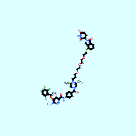 C[C@@H]1CN(C(=O)c2ccc(NC(=O)c3cc(O[C@H](C)c4c(Cl)ccc(F)c4Cl)c(N)nn3)cc2)C[C@H](C)N1CCCOCCOCCOCCSc1cccc2c1CN(C1CCC(=O)NC1=O)C2=O